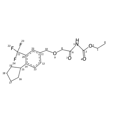 CCOC(=O)NC(=O)COCc1ccc(C2CCCC2)c(C(F)(F)F)c1